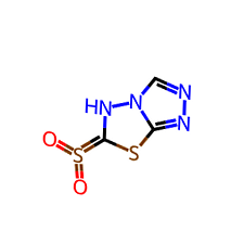 O=S(=O)=c1[nH]n2cnnc2s1